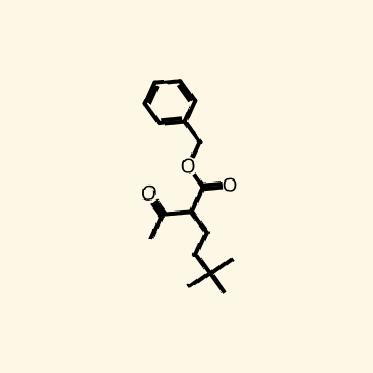 CC(=O)C(CCC(C)(C)C)C(=O)OCc1ccccc1